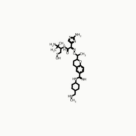 CNCC1CCC(NC(=N)c2ccc3c(c2)CCC(C(C)O/N=C(\C(=O)NC(CSO)C(C)(C)N)c2csc(N)n2)O3)CC1